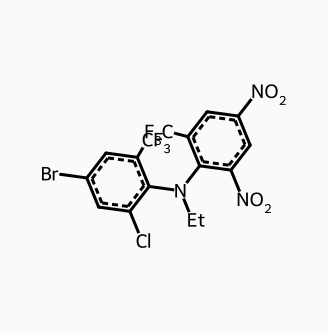 CCN(c1c(Cl)cc(Br)cc1C(F)(F)F)c1c([N+](=O)[O-])cc([N+](=O)[O-])cc1C(F)(F)F